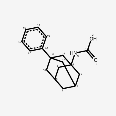 O=C(O)NC12CC3CC(C1)CC(c1ccccc1)(C3)C2